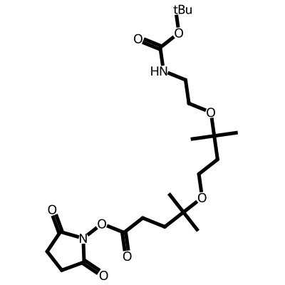 CC(C)(C)OC(=O)NCCOC(C)(C)CCOC(C)(C)CCC(=O)ON1C(=O)CCC1=O